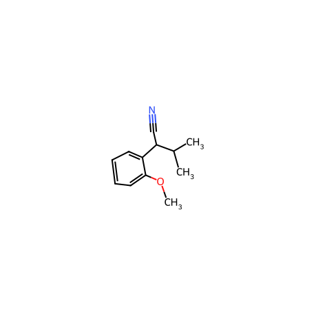 COc1ccccc1C(C#N)C(C)C